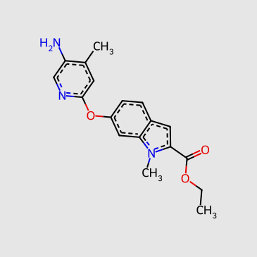 CCOC(=O)c1cc2ccc(Oc3cc(C)c(N)cn3)cc2n1C